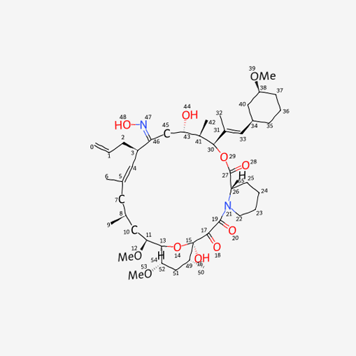 C=CC[C@@H]1/C=C(\C)C[C@H](C)C[C@H](OC)[C@H]2O[C@@](O)(C(=O)C(=O)N3CCCC[C@H]3C(=O)O[C@H](/C(C)=C/[C@@H]3CCC[C@H](OC)C3)[C@H](C)[C@@H](O)C/C1=N/O)[C@H](C)C[C@@H]2OC